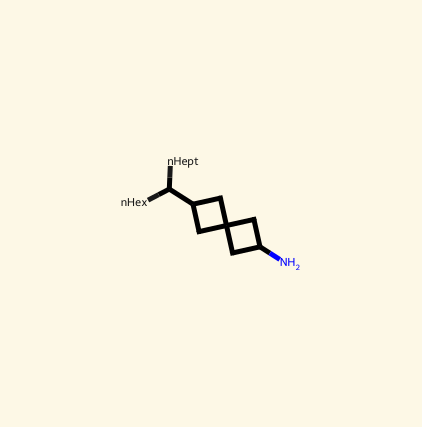 CCCCCCCC(CCCCCC)C1CC2(CC(N)C2)C1